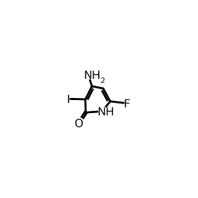 Nc1cc(F)[nH]c(=O)c1I